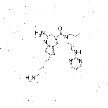 CCCN(CCCNc1ncccn1)C(=O)C1=Cc2sc(CCCCCN)cc2N=C(N)C1